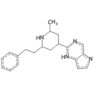 CC1CC(c2ncc3nccc-3[nH]2)CC(CCc2ccccc2)N1